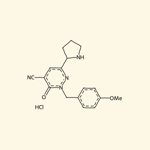 COc1ccc(Cn2nc(C3CCCN3)cc(C#N)c2=O)cc1.Cl